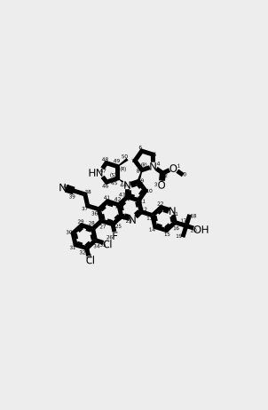 COC(=O)N1CCC[C@@H]1c1cc2c(-c3ccc(C(C)(C)O)nc3)nc3c(F)c(-c4cccc(Cl)c4Cl)c(CCC#N)cc3c2n1[C@@H]1CNC[C@H]1C